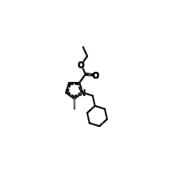 CCOC(=O)c1ccc(C)n1CC1CCCCC1